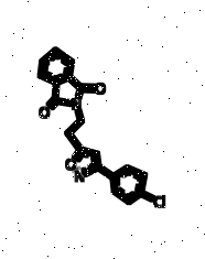 O=C1c2ccccc2C(=O)N1CCc1cc(-c2ccc(Cl)cc2)no1